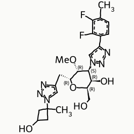 CO[C@@H]1[C@@H](n2cc(-c3ccc(C)c(F)c3F)nn2)[C@@H](O)[C@@H](CO)O[C@@H]1Cc1cn(C2(C)CC(O)C2)nn1